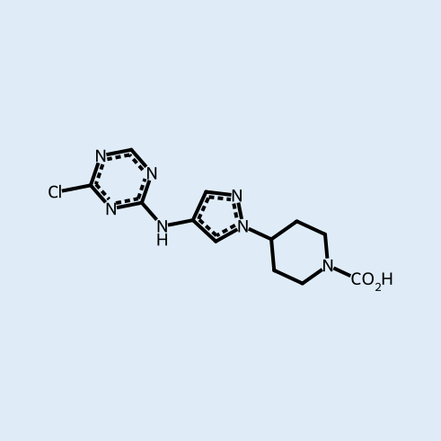 O=C(O)N1CCC(n2cc(Nc3ncnc(Cl)n3)cn2)CC1